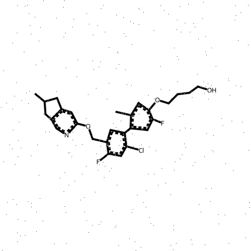 Cc1cc(OCCCCO)c(F)cc1-c1cc(COc2cc3c(cn2)CC(C)C3)c(F)cc1Cl